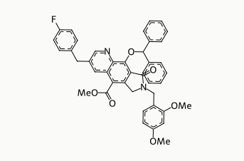 COC(=O)c1c2c(c(OC(c3ccccc3)c3ccccc3)c3ncc(Cc4ccc(F)cc4)cc13)C(=O)N(Cc1ccc(OC)cc1OC)C2